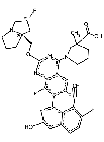 C#Cc1c(F)ccc2cc(O)cc(-c3c(F)cc4c(N5CCCC(C)(C(=O)O)C5)nc(OC[C@@]56CCCN5C[C@H](F)C6)nc4c3F)c12